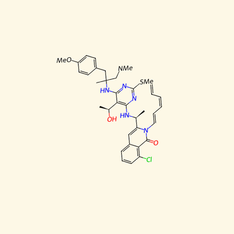 C=C/C=C\C=C\n1c([C@H](C)Nc2nc(SC)nc(NC(C)(CNC)Cc3ccc(OC)cc3)c2[C@H](C)O)cc2cccc(Cl)c2c1=O